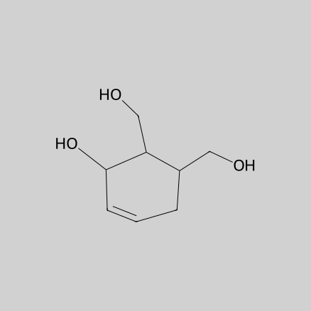 OCC1CC=CC(O)C1CO